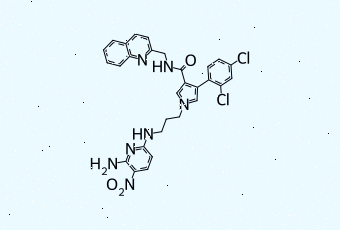 Nc1nc(NCCCn2cc(C(=O)NCc3ccc4ccccc4n3)c(-c3ccc(Cl)cc3Cl)c2)ccc1[N+](=O)[O-]